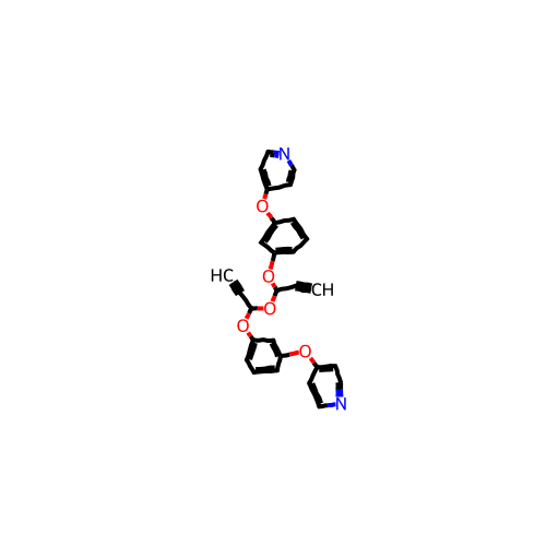 C#CC(Oc1cccc(Oc2ccncc2)c1)OC(C#C)Oc1cccc(Oc2ccncc2)c1